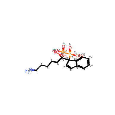 NCCCCCC(O)C1(P(=O)(O)P(=O)(O)O)C=Cc2ccccc21